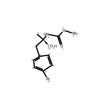 CC(C)(C)OC(=O)N[C@@](C)(Cc1ccc(Br)cc1)C(=O)O